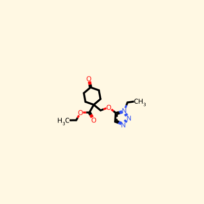 CCOC(=O)C1(COc2cnnn2CC)CCC(=O)CC1